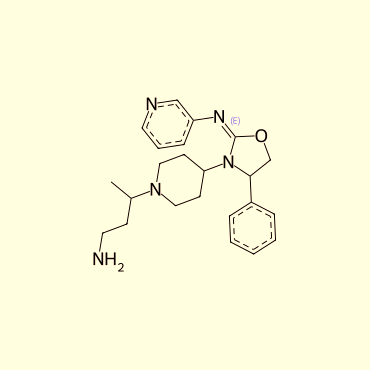 CC(CCN)N1CCC(N2/C(=N\c3cccnc3)OCC2c2ccccc2)CC1